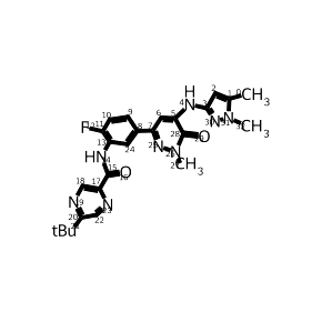 Cc1cc(Nc2cc(-c3ccc(F)c(NC(=O)c4cnc(C(C)(C)C)cn4)c3)nn(C)c2=O)nn1C